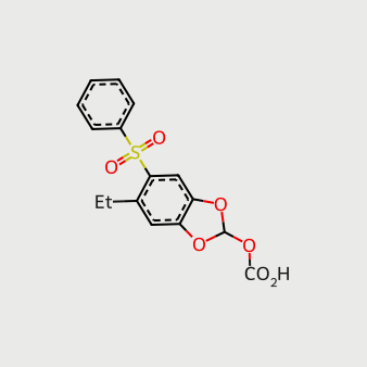 CCc1cc2c(cc1S(=O)(=O)c1ccccc1)OC(OC(=O)O)O2